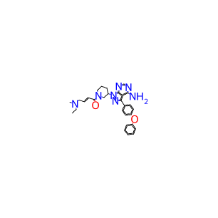 CCN(C)CC=CC(=O)N1CCCC(n2nc(-c3ccc(Oc4ccccc4)cc3)c3c(N)ncnc32)C1